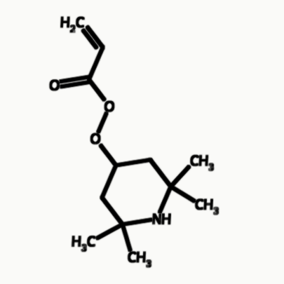 C=CC(=O)OOC1CC(C)(C)NC(C)(C)C1